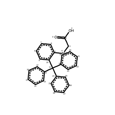 O=C(O)CNc1ccccc1C(c1ccccc1)(c1ccccc1)c1ccccc1